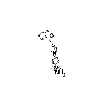 NS(=O)(=O)c1ccc(N2CCN(CCC3OCCc4ccccc43)CC2)cc1